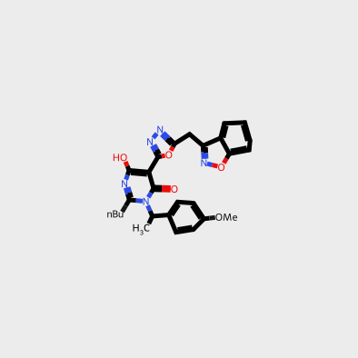 CCCCc1nc(O)c(-c2nnc(Cc3noc4ccccc34)o2)c(=O)n1C(C)c1ccc(OC)cc1